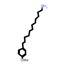 COc1ccc(CCCCCCCCCCCCN)cc1